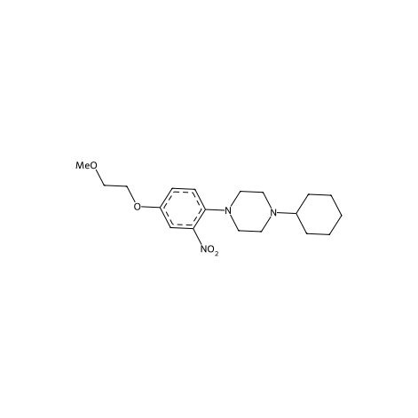 COCCOc1ccc(N2CCN(C3CCCCC3)CC2)c([N+](=O)[O-])c1